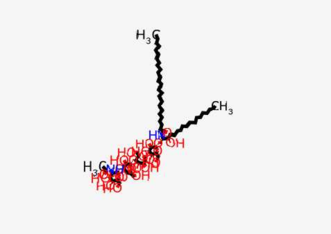 CCCCCCCCCCCCC/C=C/[C@@H](O)[C@H](CO[C@@H]1OC(CO)[C@@H](O[C@@H]2OC(CO)[C@H](O[C@@H]3OC(CO)[C@H](O)[C@H](O[C@@H]4OC(CO)[C@@H](O)[C@H](O)C4NC(C)=O)C3O)[C@H](O)C2O)[C@H](O)C1O)NC(=O)CCCCCCCCCCCCCCCCCCCCCCCCC